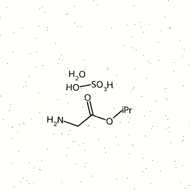 CC(C)OC(=O)CN.O.O=S(=O)(O)O